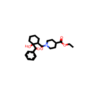 CCOC(=O)C1CCN(C(=O)C2CCCCC2(O)C(=O)c2ccccc2)CC1